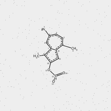 Cc1ccc(C(C)C)cc2c(C)c(O[SH](=O)=O)cc1-2